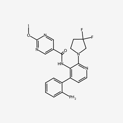 O=C(Nc1c(-c2ccccc2P)ccnc1N1CCC(F)(F)C1)c1cnc(OI)nc1